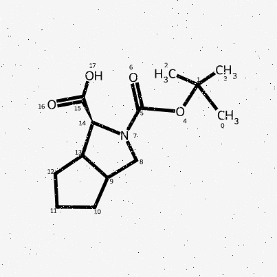 CC(C)(C)OC(=O)N1CC2CCCC2[C@H]1C(=O)O